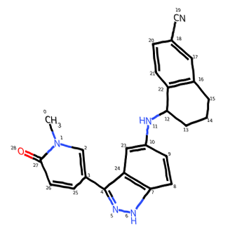 Cn1cc(-c2n[nH]c3ccc(NC4CCCc5cc(C#N)ccc54)cc23)ccc1=O